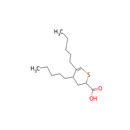 CCCCCC1=CSC(C(=O)O)CC1CCCCC